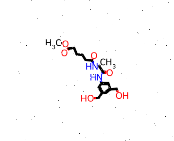 COC(=O)CCCCC(=O)N[C@@H](C)C(=O)Nc1cc(CO)cc(CO)c1